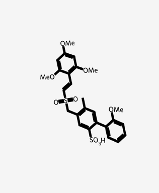 COc1cc(OC)c(C=CS(=O)(=O)Cc2cc(S(=O)(=O)O)c(-c3ccccc3OC)cc2C)c(OC)c1